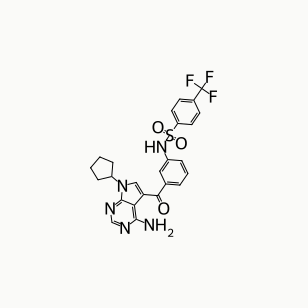 Nc1ncnc2c1c(C(=O)c1cccc(NS(=O)(=O)c3ccc(C(F)(F)F)cc3)c1)cn2C1CCCC1